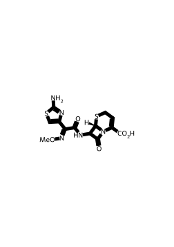 CON=C(C(=O)NC1C(=O)N2C(C(=O)O)=CCS[C@@H]12)c1csc(N)n1